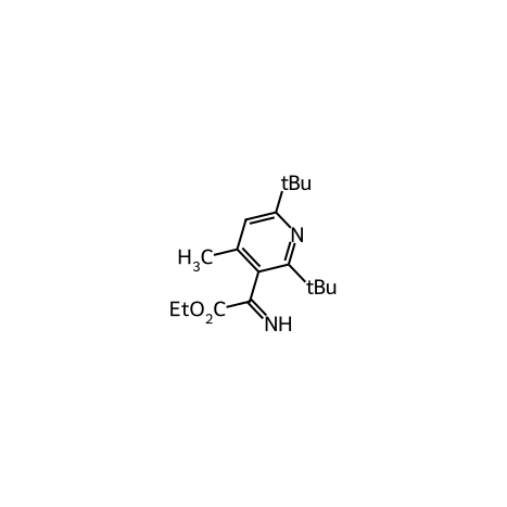 CCOC(=O)C(=N)c1c(C)cc(C(C)(C)C)nc1C(C)(C)C